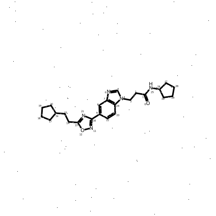 O=C(CCn1cnc2cc(-c3noc(CCC4CCCC4)n3)ccc21)NC1CCCC1